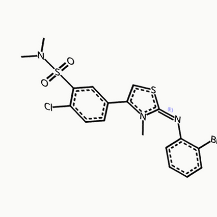 CN(C)S(=O)(=O)c1cc(-c2cs/c(=N/c3ccccc3Br)n2C)ccc1Cl